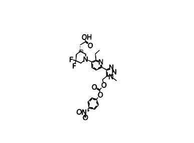 CCc1nc(-c2nnn(C)c2COC(=O)Oc2ccc([N+](=O)[O-])cc2)ccc1N1C[C@@H](CC(=O)O)CC(F)(F)C1